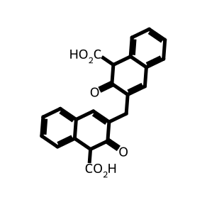 O=C(O)C1C(=O)C(CC2=Cc3ccccc3C(C(=O)O)C2=O)=Cc2ccccc21